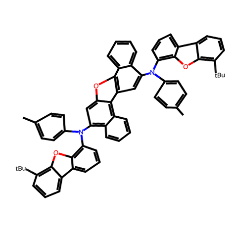 Cc1ccc(N(c2cc3c(oc4cc(N(c5ccc(C)cc5)c5cccc6c5oc5c(C(C)(C)C)cccc56)c5ccccc5c43)c3ccccc23)c2cccc3c2oc2c(C(C)(C)C)cccc23)cc1